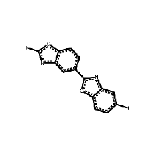 Ic1ccc2oc(-c3ccc4oc(I)nc4c3)nc2c1